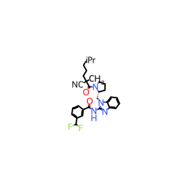 CC(C)CCCC(C)(C#N)C(=O)N1CCC[C@@H]1Cn1c(NC(=O)c2cccc(C(F)F)c2)nc2ccccc21